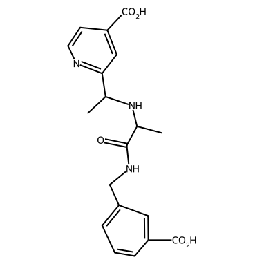 CC(NC(C)c1cc(C(=O)O)ccn1)C(=O)NCc1cccc(C(=O)O)c1